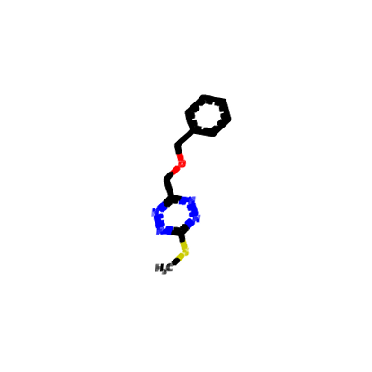 CSc1nnc(COCc2ccccc2)nn1